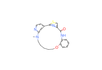 CN1CCCCCOc2ccccc2NC(=O)c2csc(n2)-c2ccnc1c2